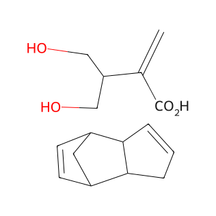 C1=CC2C3C=CC(C3)C2C1.C=C(C(=O)O)C(CO)CO